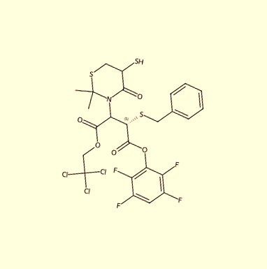 CC1(C)SCC(S)C(=O)N1C(C(=O)OCC(Cl)(Cl)Cl)[C@H](SCc1ccccc1)C(=O)Oc1c(F)c(F)cc(F)c1F